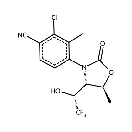 Cc1c(N2C(=O)O[C@@H](C)[C@@H]2[C@@H](O)C(F)(F)F)ccc(C#N)c1Cl